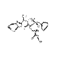 CCCCN(C(=O)[C@@H](CNC(=O)OC(C)(C)C)S(=O)(=O)Cc1ccccc1)C(O)c1nc2ccccc2s1